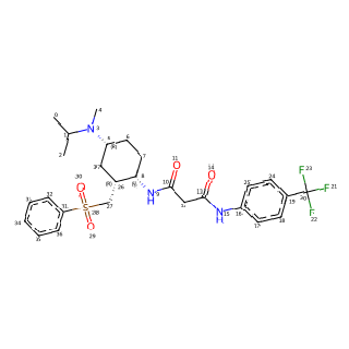 CC(C)N(C)[C@@H]1CC[C@H](NC(=O)CC(=O)Nc2ccc(C(F)(F)F)cc2)[C@H](CS(=O)(=O)c2ccccc2)C1